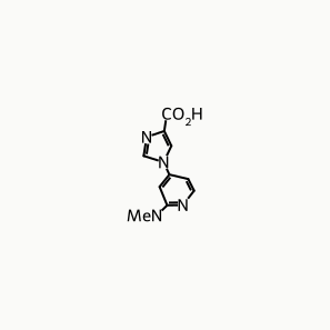 CNc1cc(-n2cnc(C(=O)O)c2)ccn1